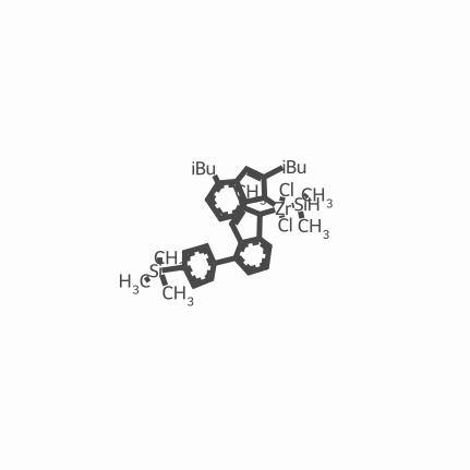 CCC(C)C1=Cc2c(C(C)CC)cccc2[CH]1[Zr]([Cl])([Cl])([CH]1C(C)=Cc2c(-c3ccc([Si](C)(C)C)cc3)cccc21)[SiH](C)C